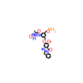 C=Nc1cc(OCc2cc(COP)cc(NC(=O)C(C)NC=O)c2)c(OC)cc1C(=O)N1CCc2ccccc21